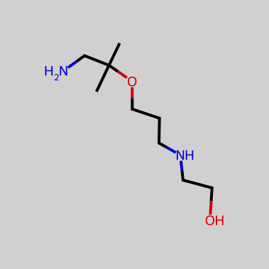 CC(C)(CN)OCCCNCCO